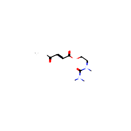 CCN(CC)C(=O)N(CC)[C@@H](C)COC(=O)/C=C/C(=O)OC